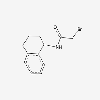 O=C(CBr)NC1CCCc2ccccc21